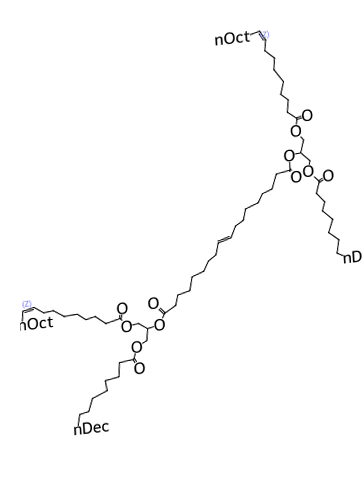 CCCCCCCC/C=C\CCCCCCCC(=O)OCC(COC(=O)CCCCCCCCCCCCCCCCC)OC(=O)CCCCCCCC=CCCCCCCCC(=O)OC(COC(=O)CCCCCCC/C=C\CCCCCCCC)COC(=O)CCCCCCCCCCCCCCCCC